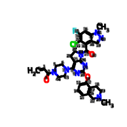 C=CC(=O)N1CCN(c2nc(Oc3cccc4c3CCN(C)C4)nc3c2CCN3C(=O)c2c(Cl)c(F)cc3c2cnn3C)CC1